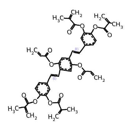 C=CC(=O)Oc1cc(/C=C/c2ccc(OC(=O)C(=C)C)c(OC(=O)C(=C)C)c2)c(OC(=O)C=C)cc1/C=C/c1ccc(OC(=O)C(=C)C)c(OC(=O)C(=C)C)c1